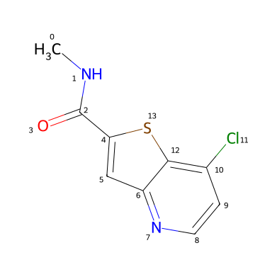 CNC(=O)c1cc2nccc(Cl)c2s1